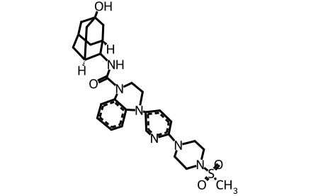 CS(=O)(=O)N1CCN(c2ccc(N3CCN(C(=O)NC4[C@@H]5CC6C[C@H]4CC(O)(C6)C5)c4ccccc43)cn2)CC1